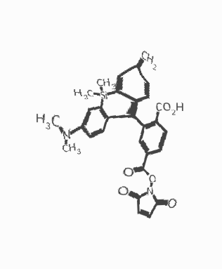 C=c1ccc2c(c1)[Si](C)(C)c1cc(N(C)C)ccc1C=2c1cc(C(=O)ON2C(=O)C=CC2=O)ccc1C(=O)O